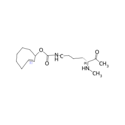 CN[C@H](CCCCNC(=O)OC1/C=C/CCCCC1)C(C)=O